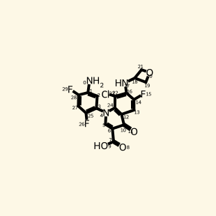 Nc1cc(-n2cc(C(=O)O)c(=O)c3cc(F)c(NC4COC4)c(Cl)c32)c(F)cc1F